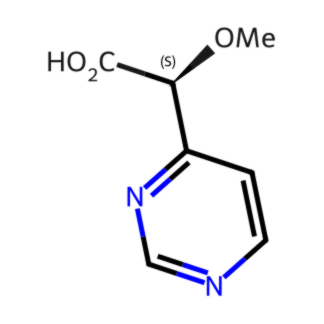 CO[C@H](C(=O)O)c1ccncn1